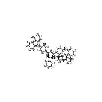 C1=C(c2ccc3c(c2)C2(c4ccccc4O3)c3ccccc3-c3ccccc32)NC(c2ccccc2)N=C1c1ccc(-n2c3ccccc3c3ccccc32)cc1